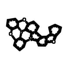 c1cc2c3c(c1)Oc1ccc4c5c6c(ccc5n5c4c1B3c1c(cccc1-5)O2)oc1ccccc16